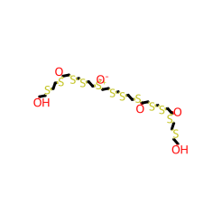 O=C(CSCSCC[S+]([O-])CCSCSCCSC(=O)CSCSCC(=O)SCCSCCO)SCCSCCO